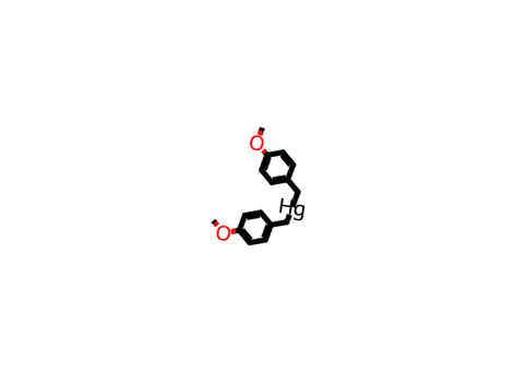 COc1ccc([CH2][Hg][CH2]c2ccc(OC)cc2)cc1